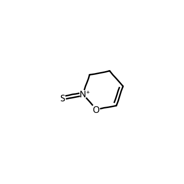 S=[N+]1CCC=CO1